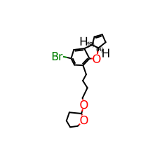 Brc1cc(CCCCOC2CCCCO2)c2c(c1)[C@H]1C=CC[C@H]1O2